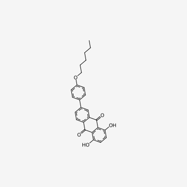 CCCCCCOc1ccc(-c2ccc3c(c2)C(=O)c2c(O)ccc(O)c2C3=O)cc1